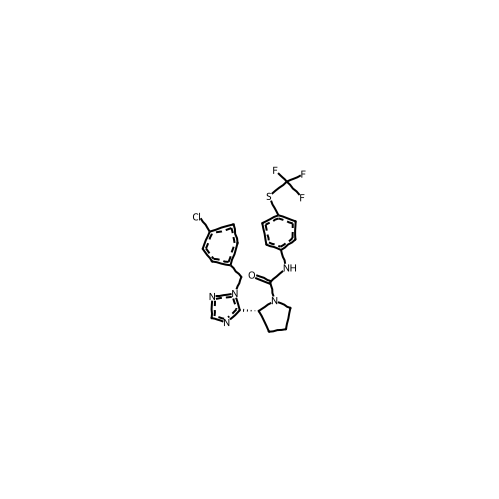 O=C(Nc1ccc(SC(F)(F)F)cc1)N1CCC[C@@H]1c1ncnn1Cc1ccc(Cl)cc1